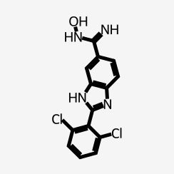 N=C(NO)c1ccc2nc(-c3c(Cl)cccc3Cl)[nH]c2c1